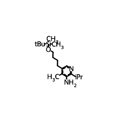 Cc1c(CCCCO[Si](C)(C)C(C)(C)C)cnc(C(C)C)c1N